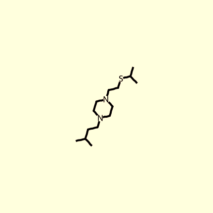 CC(C)CCN1CCN(CCSC(C)C)CC1